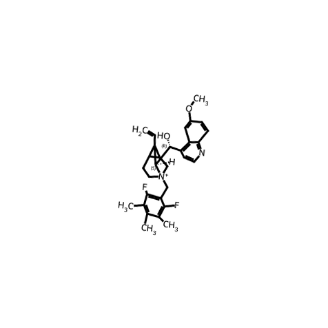 C=CC12C3CC[N+](Cc4c(F)c(C)c(C)c(C)c4F)(CC31)[C@@H]2[C@H](O)c1ccnc2ccc(OC)cc12